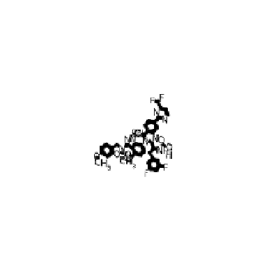 COc1ccc(CN(c2nn(C)c3c(-n4c(C(Cc5cc(F)cc(F)c5)NC(=O)O)nc5cc(-c6nccc(C(F)F)n6)ccc5c4=O)ccc(Cl)c23)S(C)(=O)=O)cc1